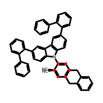 N#Cc1ccc2c(c1)C1c3ccccc3C2c2cc(-n3c4ccc(-c5ccccc5-c5ccccc5)cc4c4cc(-c5ccccc5-c5ccccc5)ccc43)c(C#N)cc21